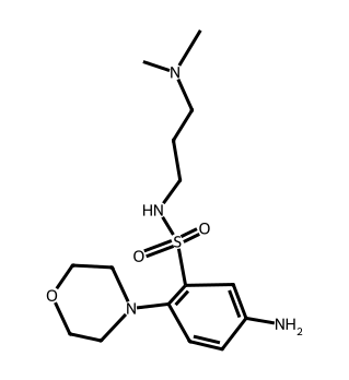 CN(C)CCCNS(=O)(=O)c1cc(N)ccc1N1CCOCC1